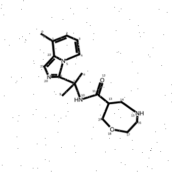 Cc1cccn2c(C(C)(C)NC(=O)C3CNCCOC3)ncc12